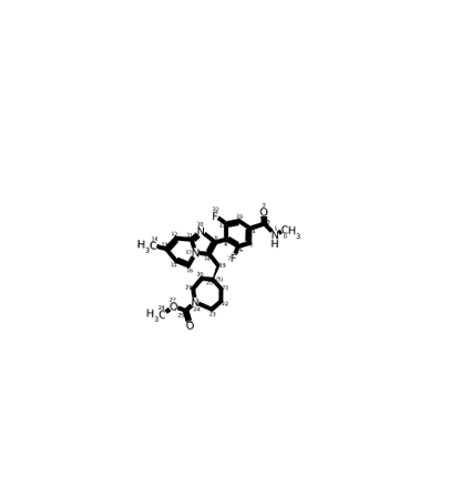 CNC(=O)c1cc(F)c(-c2nc3cc(C)ccn3c2C[C@H]2CCCN(C(=O)OC)CC2)c(F)c1